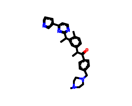 Cc1ccc(C(C)C(=O)c2ccc(CN3CCN(C)CC3)cc2)cc1C(C)c1nccc(-c2cccnc2)n1